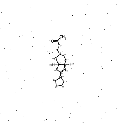 CC(=O)OC[C@H]1[C][C][C@H]2N=C(N3CCCC3)S[C@H]2O1